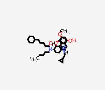 CCCCCN(C(=O)CCCCC1CCCCC1)[C@H]1CC[C@H]2[C@H]3Cc4c(O)cc(OC)c5c4[C@@]2(CCN3CC2CC2)[C@H]1O5